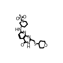 CS(=O)(=O)N1CCC[C@@H](Nc2ccc3c(=O)[nH]c(CSC4CCOCC4)nc3n2)C1